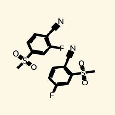 CS(=O)(=O)c1cc(F)ccc1C#N.CS(=O)(=O)c1ccc(C#N)c(F)c1